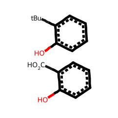 CC(C)(C)c1ccccc1O.O=C(O)c1ccccc1O